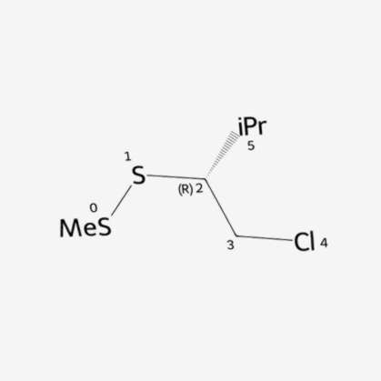 CSS[C@@H](CCl)C(C)C